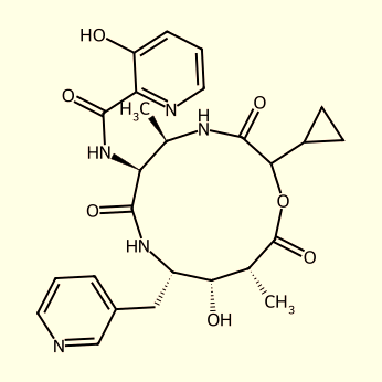 C[C@H]1NC(=O)C(C2CC2)OC(=O)[C@H](C)[C@H](O)[C@H](Cc2cccnc2)NC(=O)[C@H]1NC(=O)c1ncccc1O